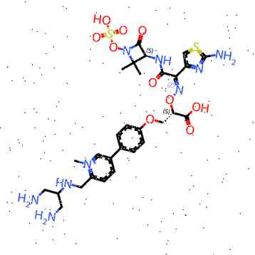 C[n+]1cc(-c2ccc(OC[C@H](O/N=C(\C(=O)N[C@@H]3C(=O)N(OS(=O)(=O)O)C3(C)C)c3csc(N)n3)C(=O)O)cc2)ccc1CNC(CN)CN